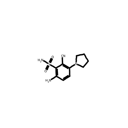 N#Cc1c(N2CCCC2)ccc(N)c1S(N)(=O)=O